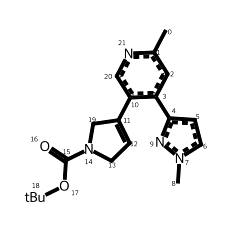 Cc1cc(-c2ccn(C)n2)c(C2=CCN(C(=O)OC(C)(C)C)C2)cn1